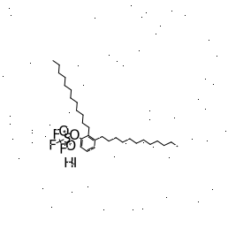 CCCCCCCCCCCCc1cccc(OS(=O)(=O)C(F)(F)F)c1CCCCCCCCCCCC.I